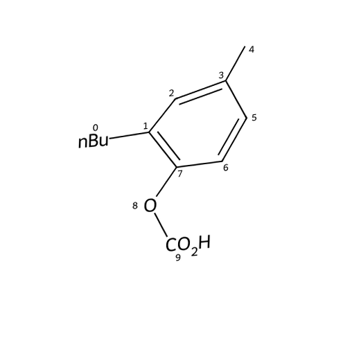 CCCCc1cc(C)ccc1OC(=O)O